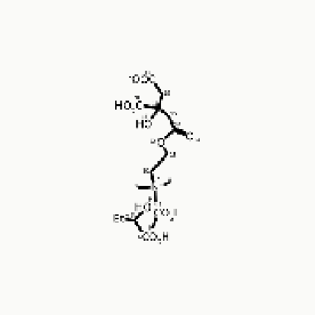 CC(=O)O.CCC(O)C(=O)O.C[N+](C)(C)CCOC(=O)CC(O)(CC(=O)[O-])C(=O)O